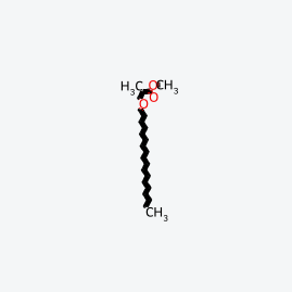 CCCCCCCCCCCCCCCCCCOCC(C)C(=O)OC